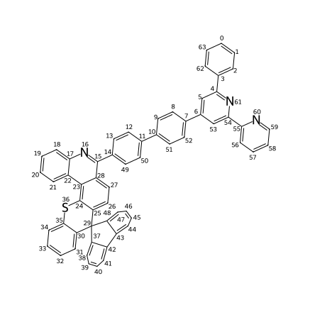 c1ccc(-c2cc(-c3ccc(-c4ccc(-c5nc6ccccc6c6c7c(ccc56)C5(c6ccccc6S7)c6ccccc6-c6ccccc65)cc4)cc3)cc(-c3ccccn3)n2)cc1